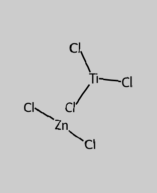 [Cl][Ti]([Cl])[Cl].[Cl][Zn][Cl]